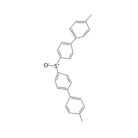 Cc1ccc(-c2ccc([S+]([O-])c3ccc(-c4ccc(C)cc4)cc3)cc2)cc1